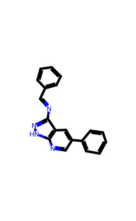 C(=Nc1n[nH]c2ncc(-c3ccccc3)cc12)c1ccccc1